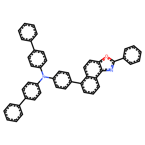 c1ccc(-c2ccc(N(c3ccc(-c4ccccc4)cc3)c3ccc(-c4cccc5c4ccc4oc(-c6ccccc6)nc45)cc3)cc2)cc1